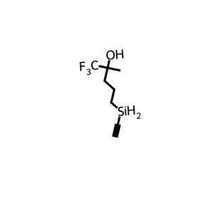 C#C[SiH2]CCCC(C)(O)C(F)(F)F